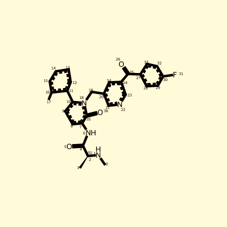 CN[C@@H](C)C(=O)Nc1ccc(-c2ccccc2C)n(Cc2cncc(C(=O)c3ccc(F)cc3)c2)c1=O